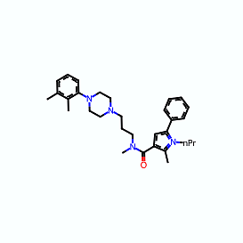 CCCn1c(-c2ccccc2)cc(C(=O)N(C)CCCN2CCN(c3cccc(C)c3C)CC2)c1C